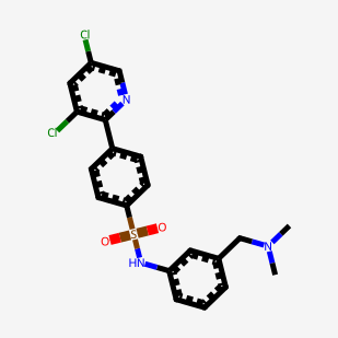 CN(C)Cc1cccc(NS(=O)(=O)c2ccc(-c3ncc(Cl)cc3Cl)cc2)c1